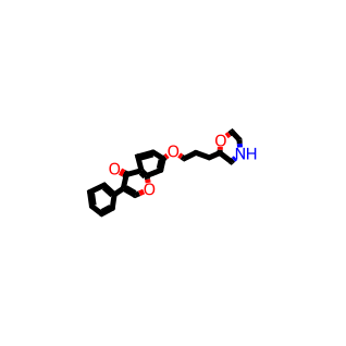 O=c1c(-c2ccccc2)coc2cc(OCCCC3CNCCO3)ccc12